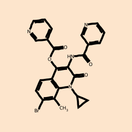 Cc1c(Br)ccc2c(OC(=O)c3cccnc3)c(NC(=O)c3cccnc3)c(=O)n(C3CC3)c12